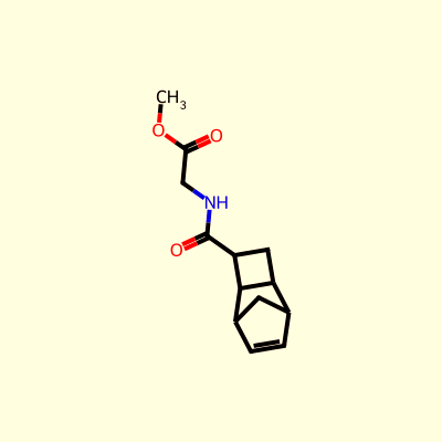 COC(=O)CNC(=O)C1CC2C3C=CC(C3)C12